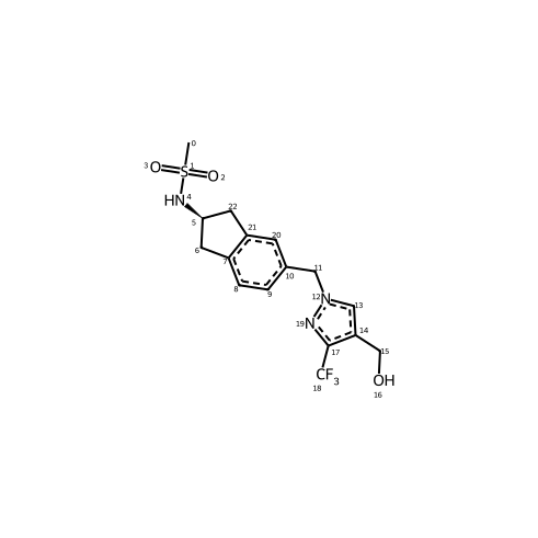 CS(=O)(=O)N[C@@H]1Cc2ccc(Cn3cc(CO)c(C(F)(F)F)n3)cc2C1